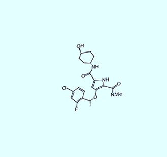 CNC(=O)c1[nH]c(C(=O)N[C@H]2CC[C@H](O)CC2)cc1OC(C)c1ccc(Cl)cc1F